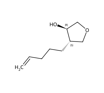 C=CCCC[C@H]1COC[C@@H]1O